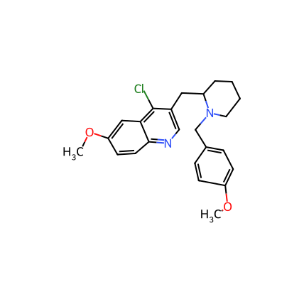 COc1ccc(CN2CCCCC2Cc2cnc3ccc(OC)cc3c2Cl)cc1